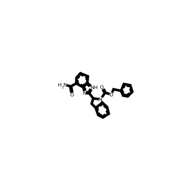 NC(=O)c1cccc2[nH]c(C3Cc4ccccc4N3C(=O)OCc3ccccc3)nc12